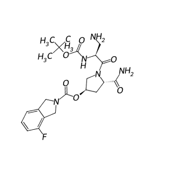 CC(C)(C)OC(=O)N[C@@H](CN)C(=O)N1C[C@H](OC(=O)N2Cc3cccc(F)c3C2)C[C@H]1C(N)=O